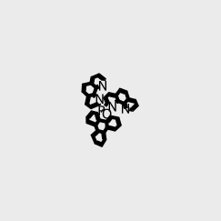 O=P(c1ccc2ccc3cccnc3c2n1)(c1ccc2ccc3cccnc3c2n1)c1cccc2c3ccccc3c3ccccc3c12